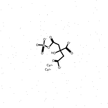 O=C([O-])CC(O)(CC(=O)OP(=O)([O-])[O-])C(=O)[O-].[Ca+2].[Ca+2]